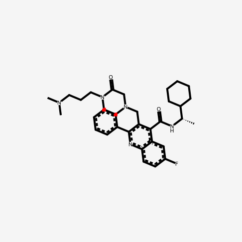 C[C@H](NC(=O)c1c(CN2CCN(CCCN(C)C)C(=O)C2)c(-c2ccccc2)nc2ccc(F)cc12)C1CCCCC1